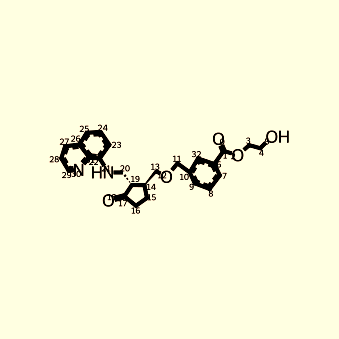 O=C(OCCO)c1cccc(COC[C@H]2CCC(=O)[C@@H]2CNc2cccc3cccnc23)c1